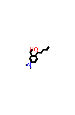 C=CCCC(O)c1ccc(N(C)C)cc1C=C